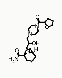 NC(=O)C12C[CH]C[C@H](CC1)N2CC(O)CN1CCN(C(=O)C2CCCO2)CC1